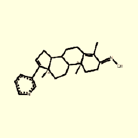 CC1=C2CCC3C(CC[C@]4(C)C(c5cccnc5)=CCC34)[C@@]2(C)CCC1=NO